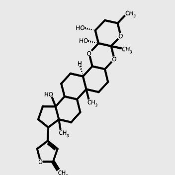 C=C1C=C(C2CCC3(O)C4CC[C@H]5C6O[C@@]7(O)[C@H](O)CC(C)OC7(C)OC6CCC5(C)C4CCC23C)CO1